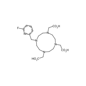 O=C(O)CN1CCN(CC(=O)O)CCN(Cc2cccc(F)n2)CCN(CC(=O)O)CC1